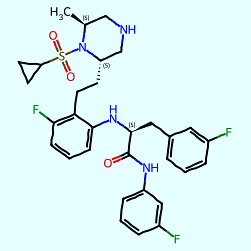 C[C@H]1CNC[C@H](CCc2c(F)cccc2N[C@@H](Cc2cccc(F)c2)C(=O)Nc2cccc(F)c2)N1S(=O)(=O)C1CC1